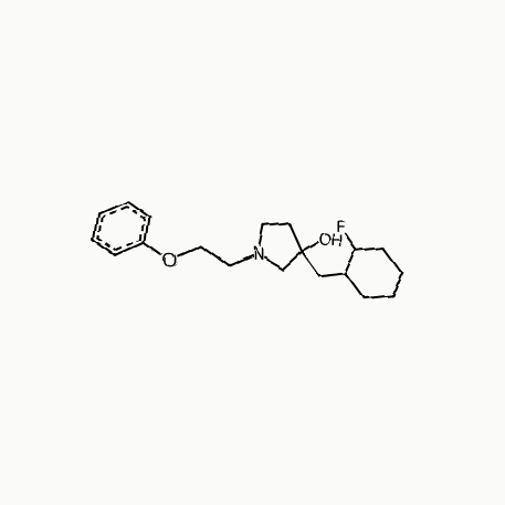 OC1(CC2CCCCC2F)CCN(CCOc2ccccc2)C1